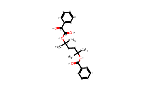 CC(C)(CCC(C)(C)OC(=O)c1ccccc1)OC(=O)C(=O)c1ccccc1